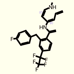 C=C/C=C(\C=C/NC)NC(=C)c1ccc(C(F)(F)C(F)(F)F)cc1Cc1ccc(F)cc1